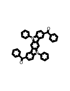 O=C(c1ccccc1)c1ccc2c(c1)c1cc3c(cc1n2-c1ccccc1)c1cc(C(=O)c2ccccc2)ccc1n3-c1ccccc1